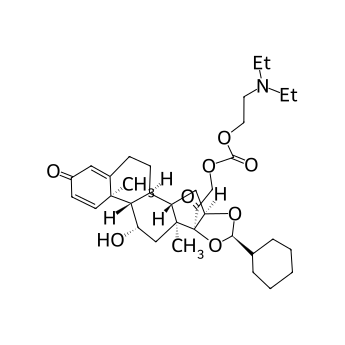 CCN(CC)CCOC(=O)OCC(=O)[C@@]12O[C@H](C3CCCCC3)O[C@@H]1C[C@H]1[C@@H]3CCC4=CC(=O)C=C[C@]4(C)[C@H]3[C@@H](O)C[C@@]12C